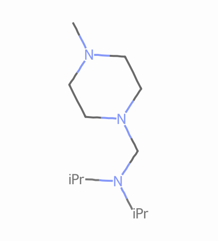 CC(C)N(CN1CCN(C)CC1)C(C)C